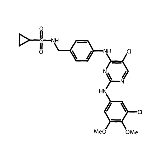 COc1cc(Nc2ncc(Cl)c(Nc3ccc(CNS(=O)(=O)C4CC4)cc3)n2)cc(Cl)c1OC